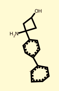 NC1(c2ccc(-c3[c]cccc3)cc2)CC(O)C1